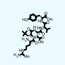 CC(C)[C@H](NC(=O)[C@H](CC(=O)O)NC(=O)[C@H](CC(C)(C)C)NC(=O)[C@@H](N)CCCNC(=N)N)C(=O)N[C@@H](Cc1ccc(O)cc1)C(=O)O